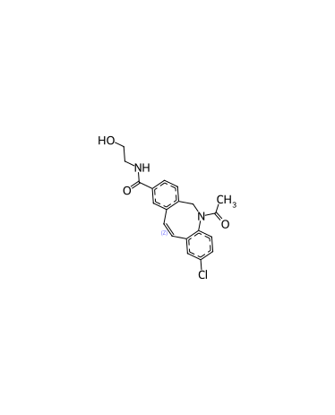 CC(=O)N1Cc2ccc(C(=O)NCCO)cc2/C=C\c2cc(Cl)ccc21